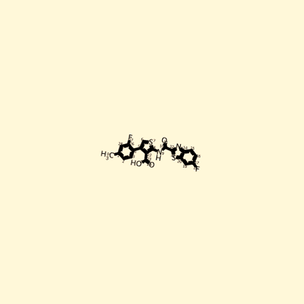 Cc1ccc(-c2csc(NC(=O)c3nc4ccc(F)cc4s3)c2C(=O)O)c(F)c1